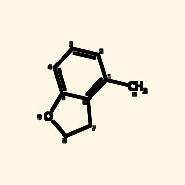 Cc1cccc2c1CCO2